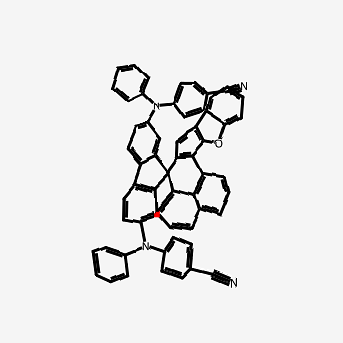 N#Cc1ccc(N(c2ccccc2)c2ccc3c(c2)C2(c4cc(N(c5ccccc5)c5ccc(C#N)cc5)ccc4-3)c3ccc4c(oc5ccccc54)c3-c3cccc4cccc2c34)cc1